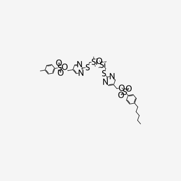 CCCCCc1ccc(S(=O)(=O)OCc2cnc(SC[Si](C)(C)O[Si](C)(C)CSc3ncc(COS(=O)(=O)c4ccc(C)cc4)cn3)nc2)cc1